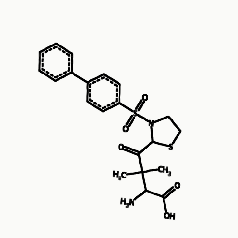 CC(C)(C(=O)C1SCCN1S(=O)(=O)c1ccc(-c2ccccc2)cc1)C(N)C(=O)O